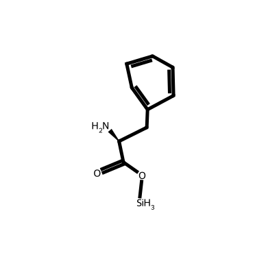 N[C@@H](Cc1ccccc1)C(=O)O[SiH3]